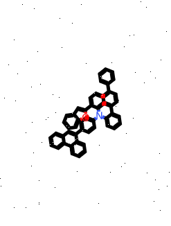 c1ccc(-c2ccc(-c3ccccc3N(c3ccc(-c4cc5ccccc5c5ccccc45)cc3)c3ccccc3-c3cc4ccccc4o3)cc2)cc1